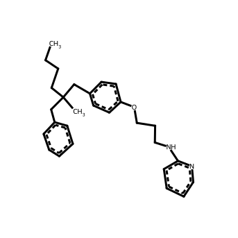 CCCCC(C)(Cc1ccccc1)Cc1ccc(OCCCNc2ccccn2)cc1